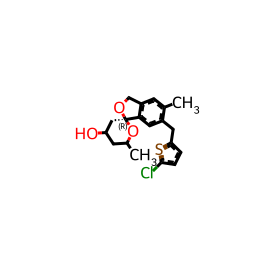 Cc1cc2c(cc1Cc1ccc(Cl)s1)[C@]1(CC(O)CC(C)O1)OC2